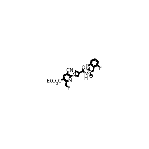 CCOC(=O)c1cc(C#N)c(N2CC(C(=O)NS(=O)(=O)Cc3c(F)cccc3F)C2)nc1CF